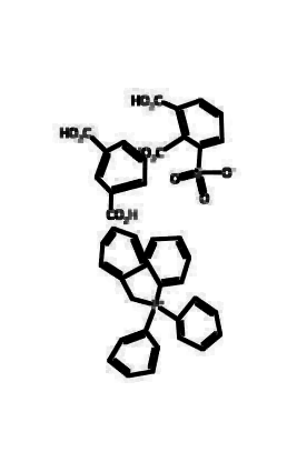 O=C(O)c1cccc(C(=O)O)c1.O=C(O)c1cccc(S(=O)(=O)[O-])c1C(=O)O.c1ccc(C[P+](c2ccccc2)(c2ccccc2)c2ccccc2)cc1